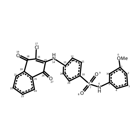 COc1cccc(NS(=O)(=O)c2ccc(NC3=C(Cl)C(=O)c4ccccc4C3=O)cc2)c1